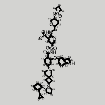 O=C(NS(=O)(=O)c1cnc(NCC2CCC(N=S3(=O)CCC3)CO2)c([N+](=O)[O-])c1)c1ccc(N2CCC3(CC2)CC(N2CCC[C@H]2c2ccccc2C2CC2)C3)cc1Oc1cnc2[nH]ccc2c1